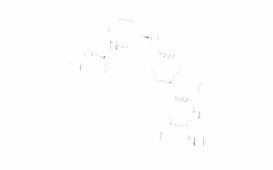 CC(C)(C)OC(=O)N1CCC[C@@H](Oc2ccc(-c3cc(Cl)c(N)nc3F)cc2)C1